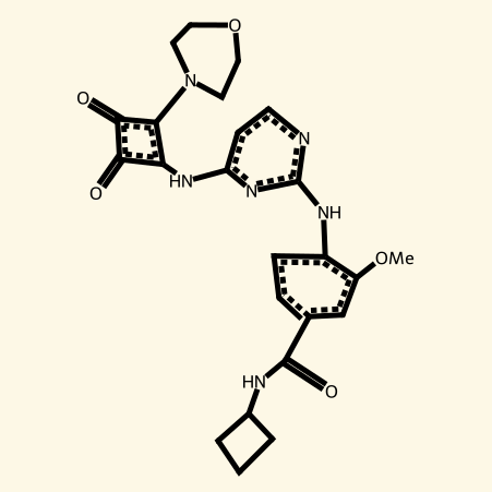 COc1cc(C(=O)NC2CCC2)ccc1Nc1nccc(Nc2c(N3CCOCC3)c(=O)c2=O)n1